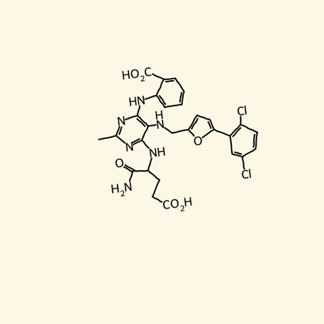 Cc1nc(Nc2ccccc2C(=O)O)c(NCc2ccc(-c3cc(Cl)ccc3Cl)o2)c(NC(CCC(=O)O)C(N)=O)n1